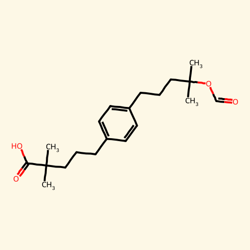 CC(C)(CCCc1ccc(CCCC(C)(C)C(=O)O)cc1)OC=O